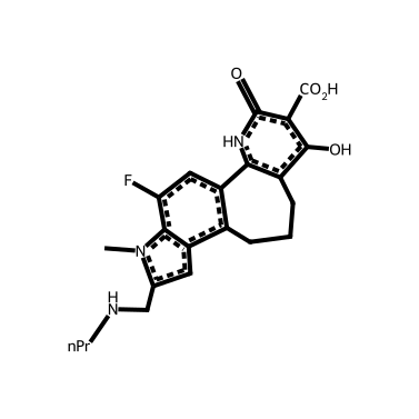 CCCNCc1cc2c3c(cc(F)c2n1C)-c1[nH]c(=O)c(C(=O)O)c(O)c1CCC3